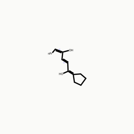 CCC/C=C(O)\C=C\C(O)=C1CCCC1